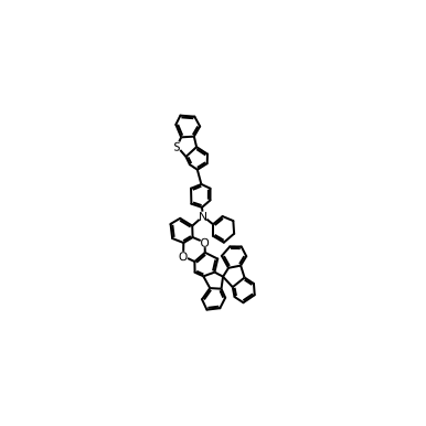 C1=CC(N(c2ccc(-c3ccc4c(c3)sc3ccccc34)cc2)c2cccc3c2Oc2cc4c(cc2O3)-c2ccccc2C42c3ccccc3-c3ccccc32)=CCC1